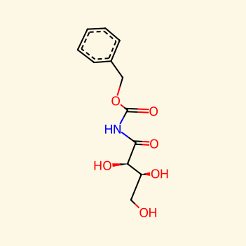 O=C(NC(=O)[C@H](O)[C@@H](O)CO)OCc1ccccc1